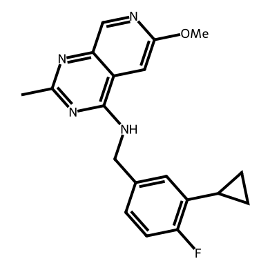 COc1cc2c(NCc3ccc(F)c(C4CC4)c3)nc(C)nc2cn1